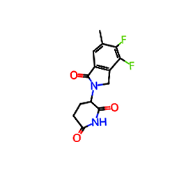 Cc1cc2c(c(F)c1F)CN(C1CCC(=O)NC1=O)C2=O